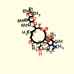 CC[Si](CC)(CC)OC1C(C)O[C@@H](OCC2/C=C(C)/C=C/C(=O)[C@H](C)C[C@H](CCO)[C@H](O[C@@H]3OC(C)[C@@H](OC(C)=O)C(N(C)C)C3OC(C)=O)[C@@H](C)[C@H](O)CC(=O)O[C@@H]2I)C(OC)C1OC